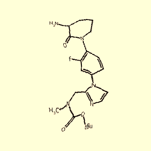 CN(Cc1nccn1-c1ccc(N2CCCC(N)C2=O)c(F)c1)C(=O)OC(C)(C)C